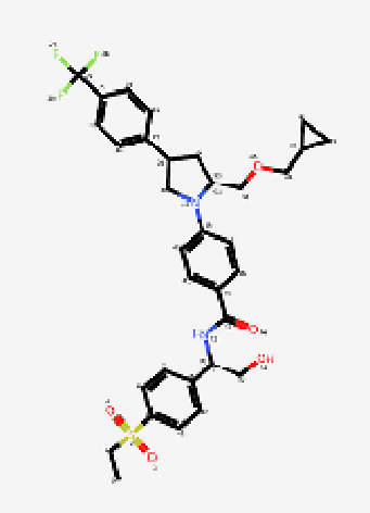 CCS(=O)(=O)c1ccc([C@H](CO)NC(=O)c2ccc(N3CC(c4ccc(C(F)(F)F)cc4)C[C@H]3COCC3CC3)cc2)cc1